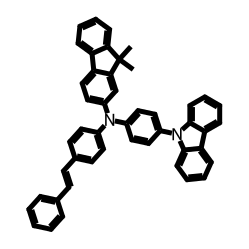 CC1(C)c2ccccc2-c2ccc(N(c3ccc(/C=C/c4ccccc4)cc3)c3ccc(-n4c5ccccc5c5ccccc54)cc3)cc21